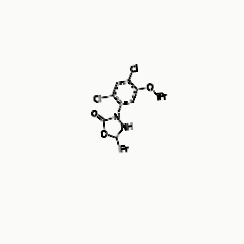 CC(C)Oc1cc(N2NC(C(C)C)OC2=O)c(Cl)cc1Cl